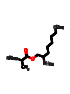 CCCCCCCCCCCCCCCC(CCCCCC)COC(=O)C(C)CCCCCCCCC